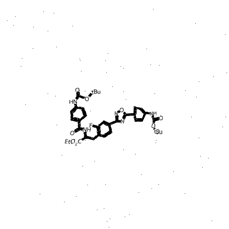 CCOC(=O)C(Cc1ccc(-c2noc(-c3ccc(NC(=O)OC(C)(C)C)cc3)n2)cc1F)NC(=O)c1ccc(NC(=O)OC(C)(C)C)cc1